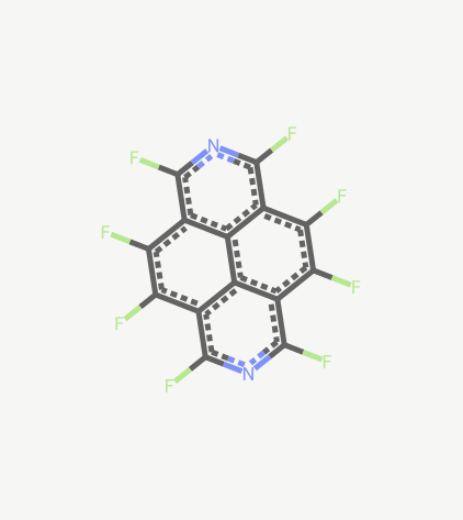 Fc1nc(F)c2c(F)c(F)c3c(F)nc(F)c4c(F)c(F)c1c2c43